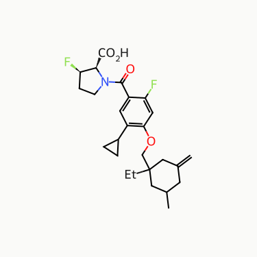 C=C1CC(C)CC(CC)(COc2cc(F)c(C(=O)N3CC[C@@H](F)[C@H]3C(=O)O)cc2C2CC2)C1